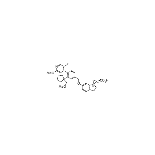 COCC1(c2cc(COc3ccc4c(c3)[C@]3(CC4)C[C@H]3C(=O)O)ccc2-c2cc(OC)ncc2F)CCCC1